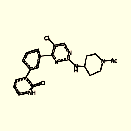 CC(=O)N1CCC(Nc2ncc(Cl)c(-c3cccc(-c4ccc[nH]c4=O)c3)n2)CC1